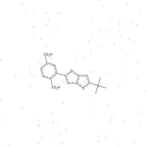 C[Si](C)(C)c1cc2sc(-c3cc(C(=O)O)ccc3C(=O)O)cc2s1